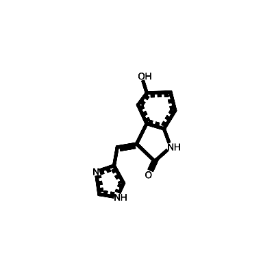 O=C1Nc2ccc(O)cc2C1=Cc1c[nH]cn1